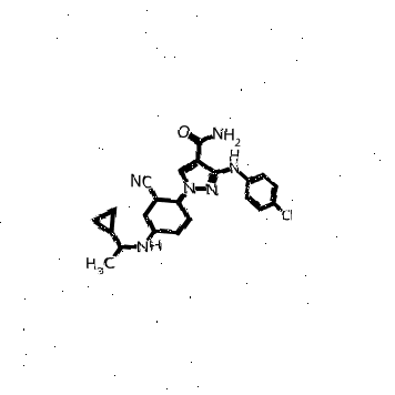 CC(NC1CCC(n2cc(C(N)=O)c(Nc3ccc(Cl)cc3)n2)C(C#N)C1)C1CC1